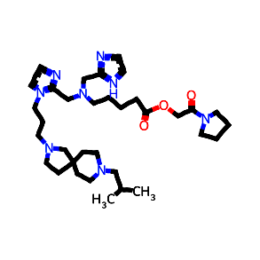 CC(C)CN1CCC2(CC1)CCN(CCCn1ccnc1CN(CCCCC(=O)OCC(=O)N1CCCC1)Cc1ncc[nH]1)C2